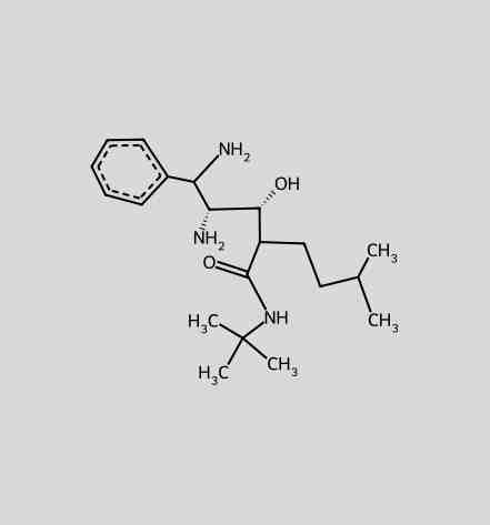 CC(C)CCC(C(=O)NC(C)(C)C)[C@@H](O)[C@H](N)C(N)c1ccccc1